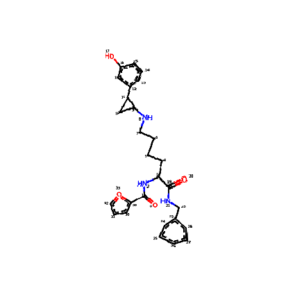 O=C(NC(CCCCNC1CC1c1cccc(O)c1)C(=O)NCc1ccccc1)c1ccco1